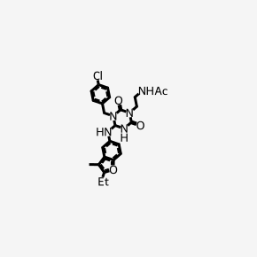 CCc1oc2ccc(NC3NC(=O)N(CCNC(C)=O)C(=O)N3Cc3ccc(Cl)cc3)cc2c1C